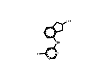 OC1Cc2cccc(Nc3cc(Cl)ncn3)c2C1